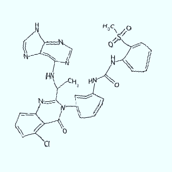 CC(Nc1ncnc2[nH]cnc12)c1nc2cccc(Cl)c2c(=O)n1-c1cccc(NC(=O)Nc2ccccc2S(C)(=O)=O)c1